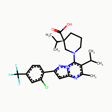 Cc1nc2cc(-c3ccc(C(F)(F)F)cc3Cl)nn2c(N2CCC[C@](C(=O)O)(C(C)C)C2)c1C(C)C